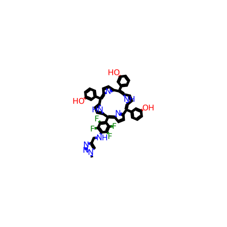 Cn1cc(CNc2c(F)c(F)c(-c3c4nc(c(-c5cccc(O)c5)c5ccc([nH]5)c(-c5cccc(O)c5)c5nc(c(-c6cccc(O)c6)c6ccc3[nH]6)C=C5)C=C4)c(F)c2F)nn1